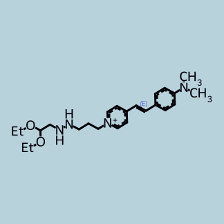 CCOC(CNNCCC[n+]1ccc(/C=C/c2ccc(N(C)C)cc2)cc1)OCC